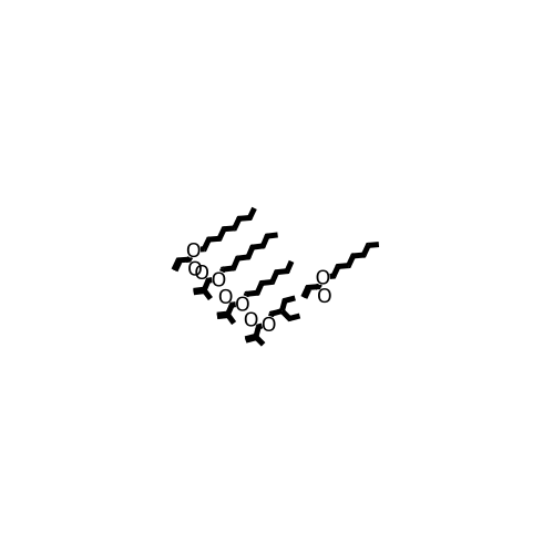 C=C(C)C(=O)OCC(CC)CC.C=C(C)C(=O)OCCCCCCC.C=C(C)C(=O)OCCCCCCCC.C=CC(=O)OCCCCCCC.C=CC(=O)OCCCCCCCC